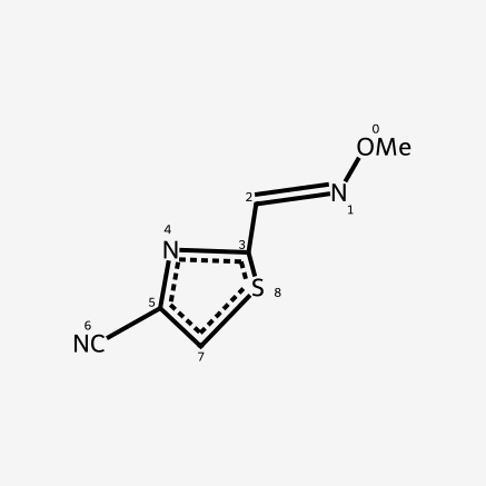 CON=Cc1nc(C#N)cs1